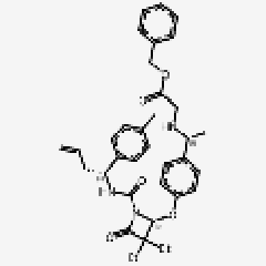 C=CC[C@@H](NC(=O)N1C(=O)C(CC)(CC)[C@@H]1Oc1ccc([C@H](C)NCC(=O)OCc2ccccc2)cc1)c1ccc(C)cc1